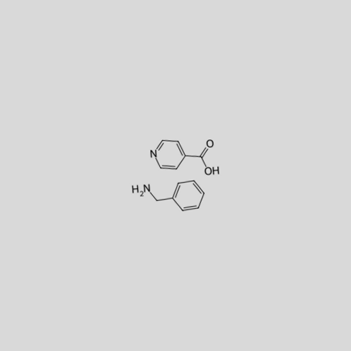 NCc1ccccc1.O=C(O)c1ccncc1